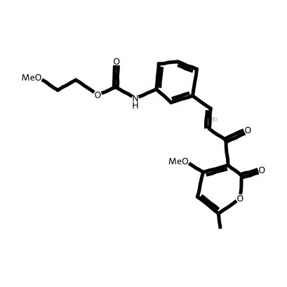 COCCOC(=O)Nc1cccc(/C=C/C(=O)c2c(OC)cc(C)oc2=O)c1